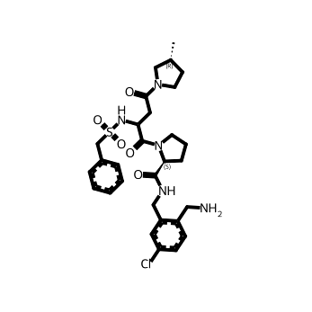 C[C@@H]1CCN(C(=O)CC(NS(=O)(=O)Cc2ccccc2)C(=O)N2CCC[C@H]2C(=O)NCc2cc(Cl)ccc2CN)C1